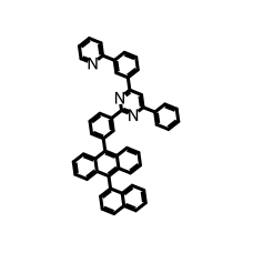 c1ccc(-c2cc(-c3cccc(-c4ccccn4)c3)nc(-c3cccc(-c4c5ccccc5c(-c5cccc6ccccc56)c5ccccc45)c3)n2)cc1